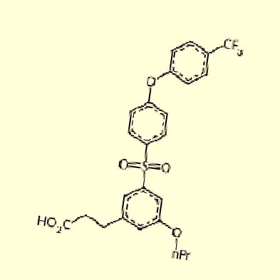 CCCOc1cc(CCC(=O)O)cc(S(=O)(=O)c2ccc(Oc3ccc(C(F)(F)F)cc3)cc2)c1